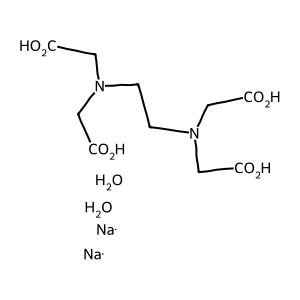 O.O.O=C(O)CN(CCN(CC(=O)O)CC(=O)O)CC(=O)O.[Na].[Na]